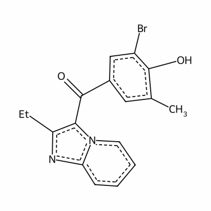 CCc1nc2ccccn2c1C(=O)c1cc(C)c(O)c(Br)c1